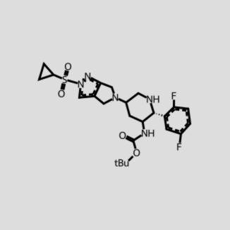 CC(C)(C)OC(=O)NC1CC(N2Cc3cn(S(=O)(=O)C4CC4)nc3C2)CN[C@@H]1c1cc(F)ccc1F